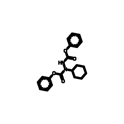 O=C(NN(C(=O)Oc1ccccc1)C1CCCCC1)Oc1ccccc1